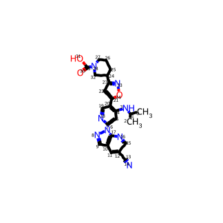 CC(C)Nc1cc(-n2ncc3cc(C#N)cnc32)ncc1-c1cc(C2CCCN(C(=O)O)C2)no1